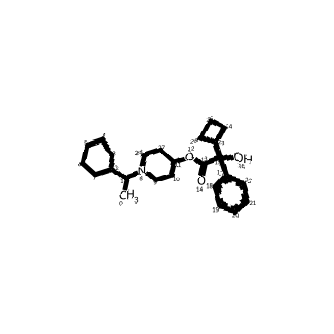 CC(C1CCCCC1)N1CCC(OC(=O)C(O)(c2ccccc2)C2CCC2)CC1